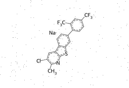 Cc1nc2sc3cc(-c4ccc(C(F)(F)F)cc4C(F)(F)F)ccc3c2cc1Cl.[Na]